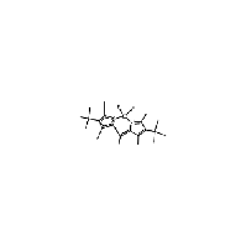 CC1=C(C(C)(C)C)C(C)=[N+]2C1=C(C)c1c(C)c(C(C)(C)C)c(C)n1[B-]2(F)F